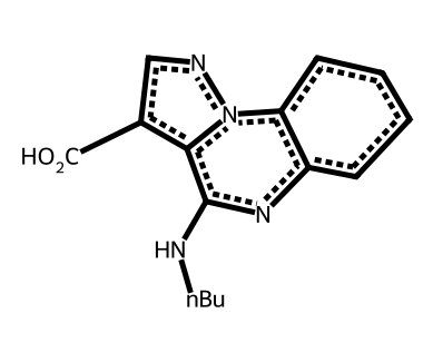 CCCCNc1nc2ccccc2n2ncc(C(=O)O)c12